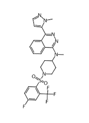 CN(c1nnc(-c2ccnn2C)c2ccccc12)C1CCN(S(=O)(=O)c2ccc(F)cc2C(F)(F)F)CC1